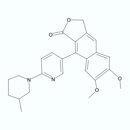 COc1cc2cc3c(c(-c4ccc(N5CCCC(C)C5)nc4)c2cc1OC)C(=O)OC3